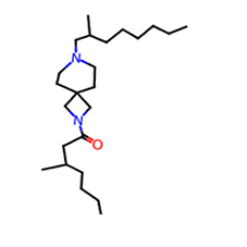 CCCCCCC(C)CN1CCC2(CC1)CN(C(=O)CC(C)CCCC)C2